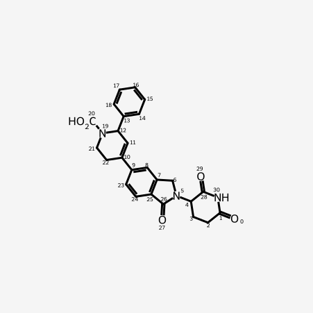 O=C1CCC(N2Cc3cc(C4=CC(c5ccccc5)N(C(=O)O)CC4)ccc3C2=O)C(=O)N1